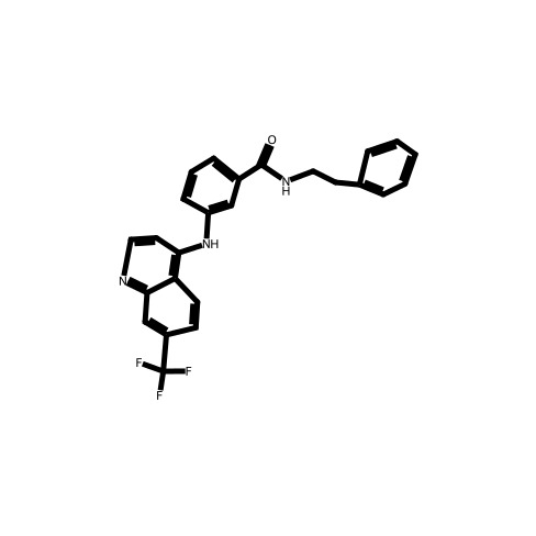 O=C(NCCc1ccccc1)c1cccc(Nc2ccnc3cc(C(F)(F)F)ccc23)c1